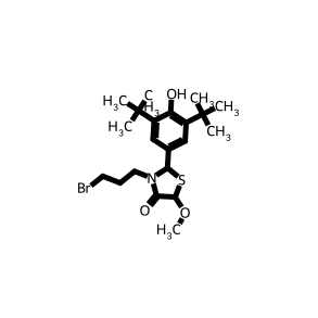 COC1SC(c2cc(C(C)(C)C)c(O)c(C(C)(C)C)c2)N(CCCBr)C1=O